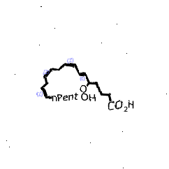 CCCCC/C=C\C/C=C\C/C=C\C=C\C(CCCC(=O)O)OO